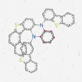 c1ccc(N(c2ccc3sc4ccc5ccccc5c4c3c2N(c2ccccc2)c2ccc3sc4ccccc4c3c2)c2cccc3c2sc2ccccc23)cc1